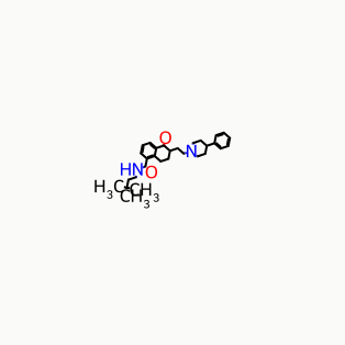 CC(C)(C)CCNC(=O)c1cccc2c1CCC(CCN1CCC(c3ccccc3)CC1)C2=O